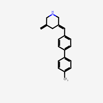 C=C1CNCC(=Cc2ccc(-c3ccc(C(F)(F)F)cc3)cc2)C1